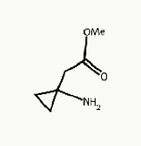 COC(=O)CC1(N)CC1